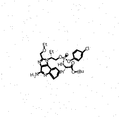 CCOCc1nc2c(N)nc3ccccc3c2n1[C@H](CC)CO[P@@](=O)(N[C@H](C(=O)OC(C)(C)C)C(C)C)Oc1ccc(Cl)cc1